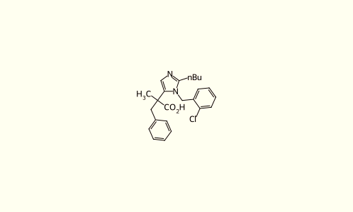 CCCCc1ncc(C(C)(Cc2ccccc2)C(=O)O)n1Cc1ccccc1Cl